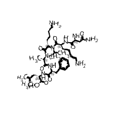 CC(C)C[C@H](NC(=O)[C@H](Cc1ccccc1)NC(=O)[C@H](C)NC(=O)[C@H](CCCCN)N(C(=O)[C@H](CCCCN)NC(=O)[C@@H](N)CC(N)=O)C(C)C)C(=O)O